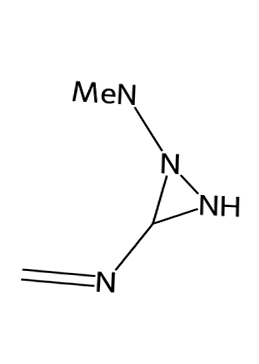 C=NC1NN1NC